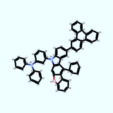 c1ccc(-c2c3c(cc4c2c2cc(-c5ccc6c7ccccc7c7ccccc7c6c5)ccc2n4-c2cccc(N(c4ccccc4)c4ccccc4)c2)oc2ccccc23)cc1